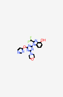 Oc1cccc2c1nc(C(F)F)n2-c1nc(Oc2ccncn2)nc(N2CCOCC2)n1